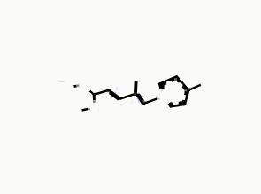 CCOC(/C=C/C(C)=C/[13c]1ccc(C)cc1)OCC